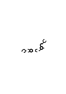 O=C1CCC(N2Cc3cc(OC4CCN(Cc5cc(F)c6nc(C7CCOCC7)ccc6c5)C4)ccc3C2=O)C(=O)N1